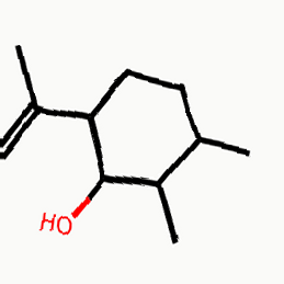 C=C(C)C1CCC(C)C(C)C1O